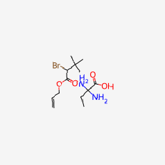 C=CCOC(=O)C(Br)C(C)(C)C.CCC(N)(N)C(=O)O